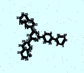 c1ccc(-c2ccc(-c3nc(-c4ccc5cccnc5n4)cc(-c4ccc5cccnc5n4)n3)cc2)cc1